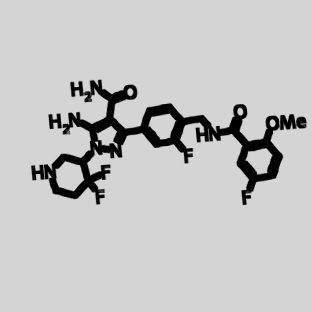 COc1ccc(F)cc1C(=O)NCc1ccc(-c2nn(C3CNCCC3(F)F)c(N)c2C(N)=O)cc1F